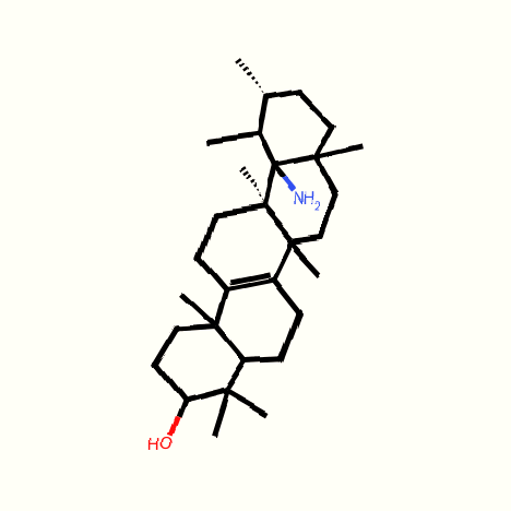 CC1[C@H](C)CCC2(C)CCC3(C)C4=C(CC[C@@]3(C)C12N)C1(C)CCC(O)C(C)(C)C1CC4